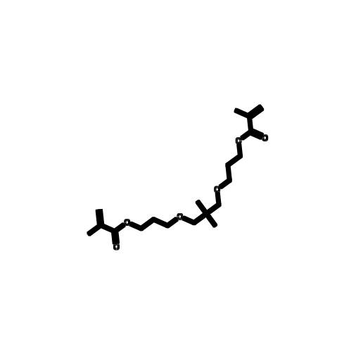 C=C(C)C(=O)OCCCOCC(C)(C)COCCCOC(=O)C(=C)C